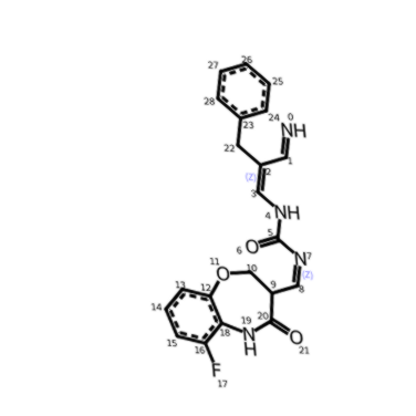 N=C/C(=C\NC(=O)/N=C\C1COc2cccc(F)c2NC1=O)Cc1ccccc1